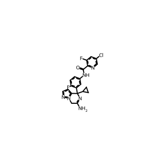 NC1=NC(c2cc(NC(=O)c3ncc(Cl)cc3F)ccc2F)(C2CC2)c2ccnn2C1